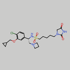 O=C1CN(CCCCCS(=O)(=O)N[C@H](CN2CCC2)c2ccc(Cl)c(OCC3CC3)c2)C(=O)N1